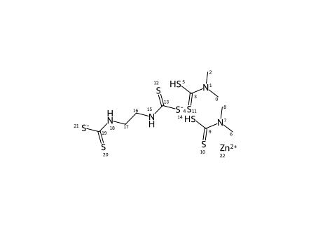 CN(C)C(=S)S.CN(C)C(=S)S.S=C([S-])NCCNC(=S)[S-].[Zn+2]